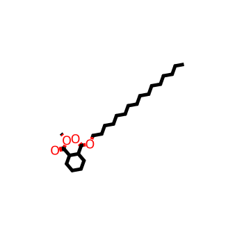 CCCCCCCCCCCCCCCCOC(=O)C1CCCCC1C(=O)OC